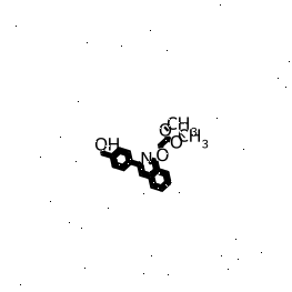 COC(COc1nc(-c2ccc(CO)cc2)cc2ccccc12)OC